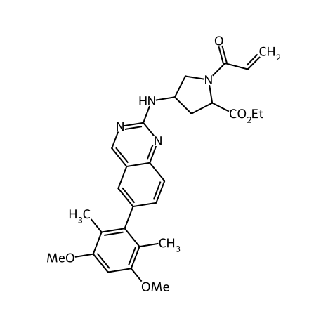 C=CC(=O)N1CC(Nc2ncc3cc(-c4c(C)c(OC)cc(OC)c4C)ccc3n2)CC1C(=O)OCC